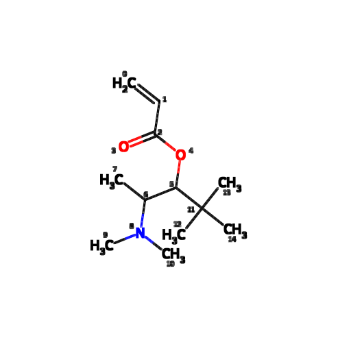 C=CC(=O)OC(C(C)N(C)C)C(C)(C)C